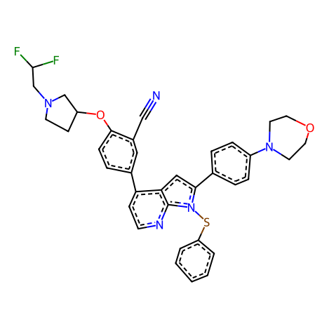 N#Cc1cc(-c2ccnc3c2cc(-c2ccc(N4CCOCC4)cc2)n3Sc2ccccc2)ccc1OC1CCN(CC(F)F)C1